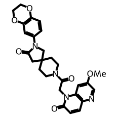 COc1cnc2ccc(=O)n(CC(=O)N3CCC4(CC3)CC(=O)N(c3ccc5c(c3)OCCO5)C4)c2c1